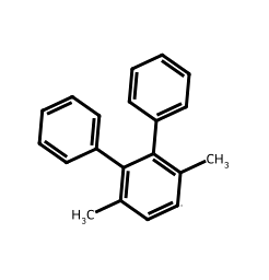 Cc1[c]cc(C)c(-c2ccccc2)c1-c1ccccc1